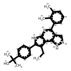 CCc1c(-c2ccc(C(C)(C)O)cc2)[nH]c2nc(-c3cccc(C)c3C)c3cn[nH]c3c12